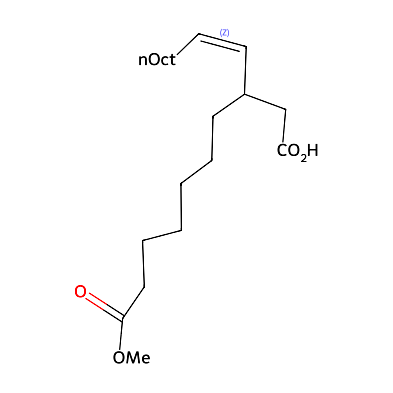 CCCCCCCC/C=C\C(CCCCCCC(=O)OC)CC(=O)O